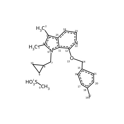 CS(=O)(=O)O.Cc1c(C)n(CC2CC2)c2c(OCc3ccc(F)cc3)nccc12